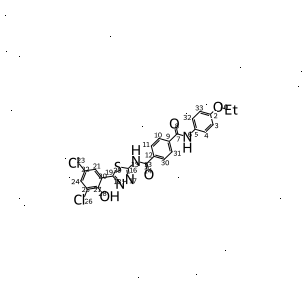 CCOc1ccc(NC(=O)c2ccc(C(=O)Nc3nnc(-c4cc(Cl)cc(Cl)c4O)s3)cc2)cc1